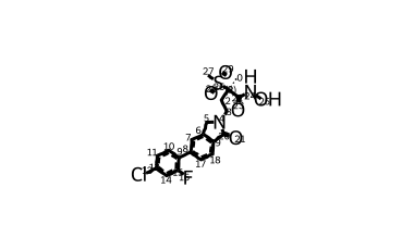 C[C@@](CCN1Cc2cc(-c3ccc(Cl)cc3F)ccc2C1=O)(C(=O)NO)S(C)(=O)=O